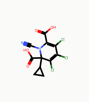 N#CN1C(C(=O)O)=C(Cl)C(Cl)=C(Cl)C1(C(=O)O)C1CC1